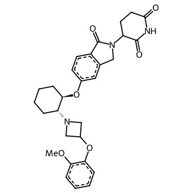 COc1ccccc1OC1CN([C@@H]2CCCC[C@H]2Oc2ccc3c(c2)CN(C2CCC(=O)NC2=O)C3=O)C1